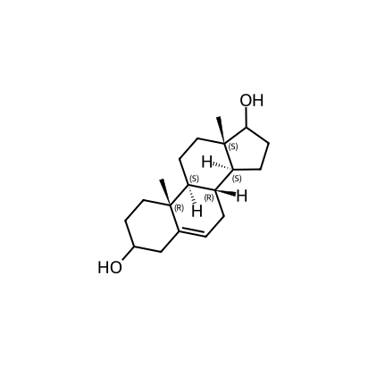 C[C@]12CCC(O)CC1=CC[C@@H]1[C@@H]2CC[C@]2(C)C(O)CC[C@@H]12